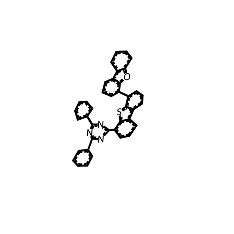 c1ccc(-c2nc(-c3ccccc3)nc(-c3cccc4c3sc3c(-c5cccc6c5oc5ccccc56)cccc34)n2)cc1